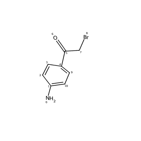 Nc1ccc(C(=O)CBr)cc1